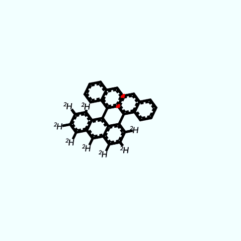 [2H]c1c([2H])c([2H])c2c(-c3cccc4ccccc34)c3c(-c4cccc5ccccc45)c([2H])c([2H])c([2H])c3c([2H])c2c1[2H]